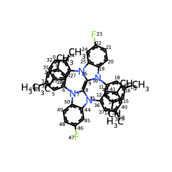 Cc1cc(C)cc(N2/C(=C3/N(c4cc(C)cc(C)c4)c4ccc(F)cc4N3c3cc(C)ccc3C)N(c3cc(C)cc(C)c3)c3cc(F)ccc32)c1